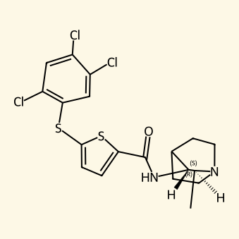 C[C@H]1[C@H](NC(=O)c2ccc(Sc3cc(Cl)c(Cl)cc3Cl)s2)C2CCN1CC2